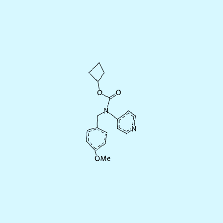 COc1ccc(CN(C(=O)OC2CCC2)c2ccncc2)cc1